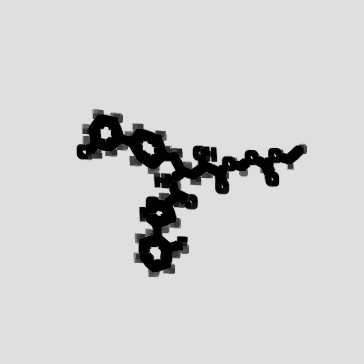 CCOC(=O)OCOC(=O)C(O)CC(Cc1ccc(-c2cccc(Cl)c2)cc1)NC(=O)c1cc(-c2ccccc2F)no1